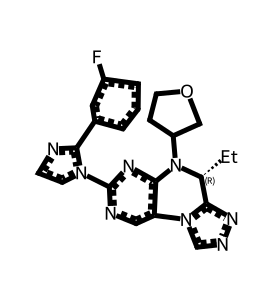 CC[C@@H]1c2nncn2-c2cnc(-n3ccnc3-c3cccc(F)c3)nc2N1C1CCOC1